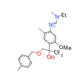 CCN(C)/C=N/c1cc(OC)c(C(O)(COCc2ccc(C)cc2)C(F)(F)F)cc1C